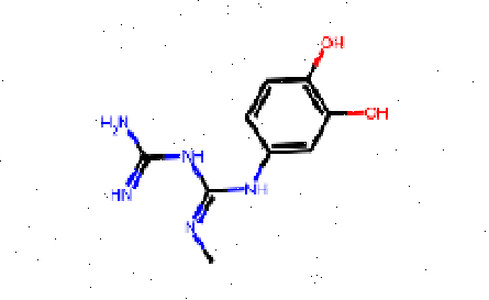 C/N=C(/NC(=N)N)Nc1ccc(O)c(O)c1